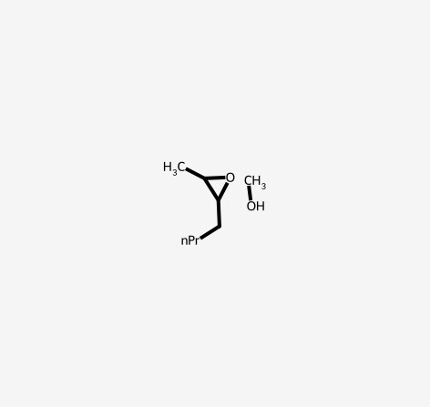 CCCCC1OC1C.CO